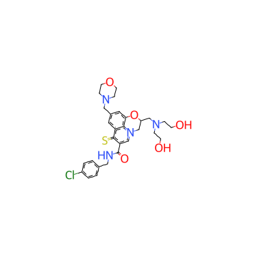 O=C(NCc1ccc(Cl)cc1)c1cn2c3c(cc(CN4CCOCC4)cc3c1=S)OC(CN(CCO)CCO)C2